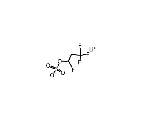 O=S(=O)([O-])OC(F)CC(F)(F)F.[Li+]